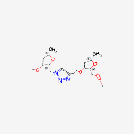 B[C@H]1CC(OC)[C@@H](Cn2cc(COC3C[C@H](B)O[C@@H]3COC)nn2)O1